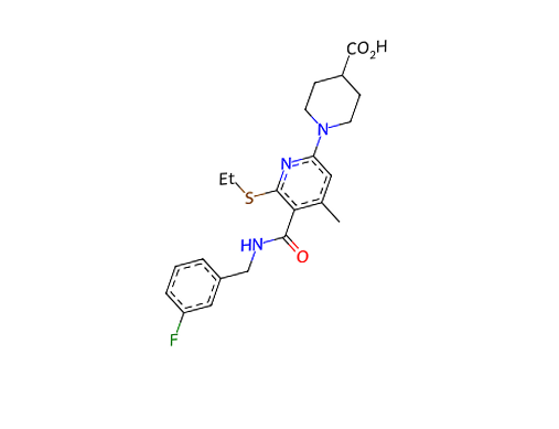 CCSc1nc(N2CCC(C(=O)O)CC2)cc(C)c1C(=O)NCc1cccc(F)c1